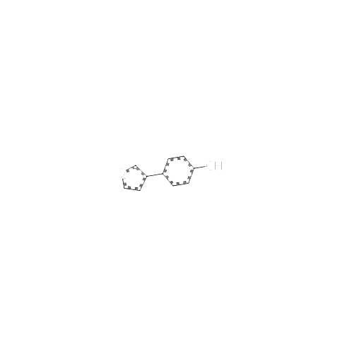 Cc1ccc(-c2c[c]sc2)cc1